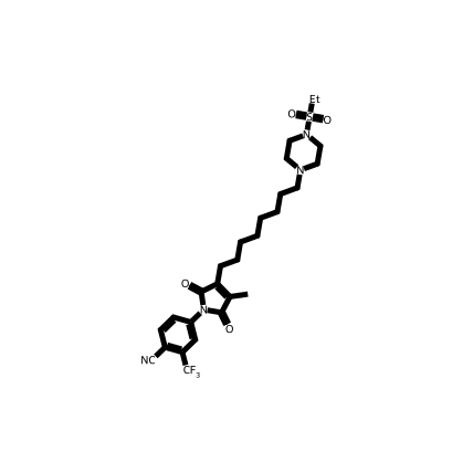 CCS(=O)(=O)N1CCN(CCCCCCCCC2=C(C)C(=O)N(c3ccc(C#N)c(C(F)(F)F)c3)C2=O)CC1